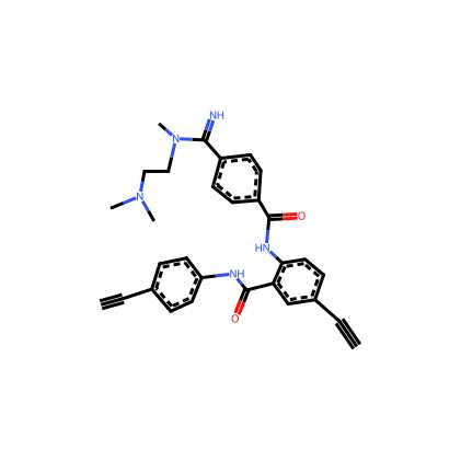 C#Cc1ccc(NC(=O)c2cc(C#C)ccc2NC(=O)c2ccc(C(=N)N(C)CCN(C)C)cc2)cc1